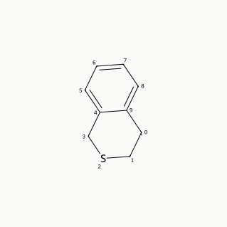 [CH]1CSCc2ccccc21